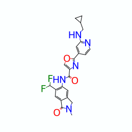 CN1Cc2cc(NC(=O)c3coc(-c4ccnc(NCC5CC5)c4)n3)c(C(F)F)cc2C1=O